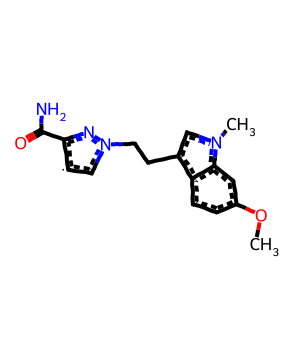 COc1ccc2c(CCn3c[c]c(C(N)=O)n3)cn(C)c2c1